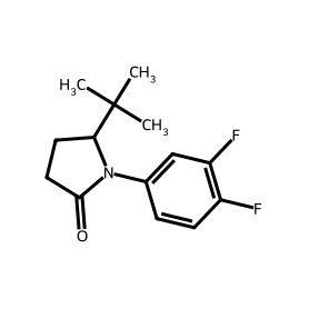 CC(C)(C)C1CCC(=O)N1c1ccc(F)c(F)c1